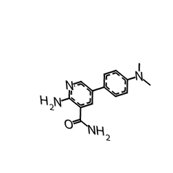 CN(C)c1ccc(-c2cnc(N)c(C(N)=O)c2)cc1